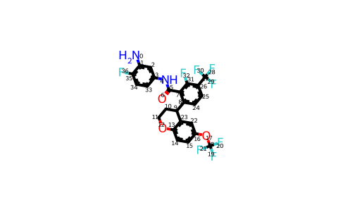 Nc1cc(NC(=O)c2c(C3CCOc4ccc(OC(F)(F)F)cc43)ccc(C(F)(F)F)c2F)ccc1F